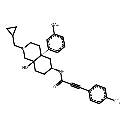 CC(=O)Oc1cccc([C@@]23CCN(CC4CC4)C[C@@]2(O)CC[C@H](NC(=O)C#Cc2ccc(C(F)(F)F)cc2)C3)c1